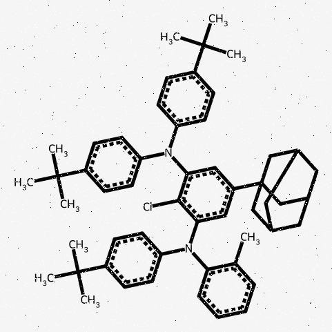 Cc1ccccc1N(c1ccc(C(C)(C)C)cc1)c1cc(C23CC4CC(CC(C4)C2)C3)cc(N(c2ccc(C(C)(C)C)cc2)c2ccc(C(C)(C)C)cc2)c1Cl